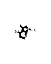 Cn1cc(I)c2c(Br)ccnc21